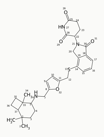 CC1(C)CCC(NCc2ccc(CSc3cccc4c3CN(C3CCC(=O)NC3=O)C4=O)o2)C2(C)CCC12